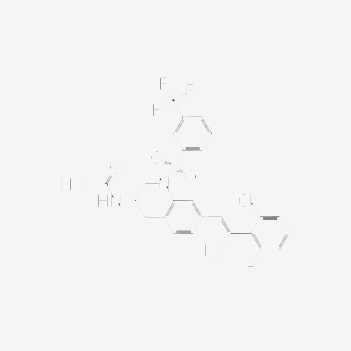 CC(=O)N[C@H]1Cc2ccc(/C=C(\C)c3c(F)cccc3Cl)cc2N(S(=O)(=O)c2cccc(C(F)(F)F)c2)C1